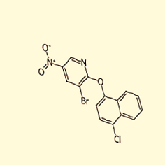 O=[N+]([O-])c1cnc(Oc2ccc(Cl)c3ccccc23)c(Br)c1